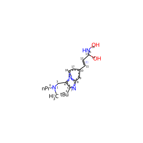 CCCN(C)Cc1c(C(C)(C)C)nc2cc(/C=C/C(O)NO)ccn12